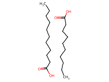 CCCCCCCCCC(=O)O.CCCCCCCCCCC(=O)O